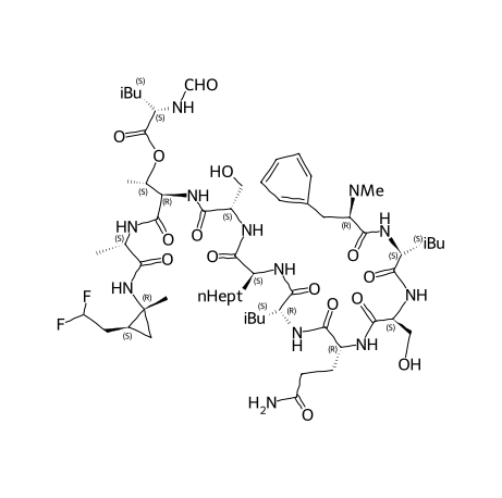 CCCCCCC[C@H](NC(=O)[C@H](NC(=O)[C@@H](CCC(N)=O)NC(=O)[C@H](CO)NC(=O)[C@@H](NC(=O)[C@@H](Cc1ccccc1)NC)[C@@H](C)CC)[C@@H](C)CC)C(=O)N[C@@H](CO)C(=O)N[C@@H](C(=O)N[C@@H](C)C(=O)N[C@]1(C)C[C@H]1CC(F)F)[C@H](C)OC(=O)[C@@H](NC=O)[C@@H](C)CC